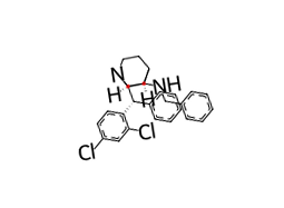 Clc1ccc([C@@H](c2ccccc2)[C@@H]2[C@H](NCc3ccccc3)C3CCN2CC3)c(Cl)c1